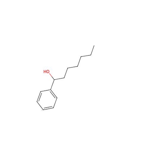 CCCCCCC(O)c1cc[c]cc1